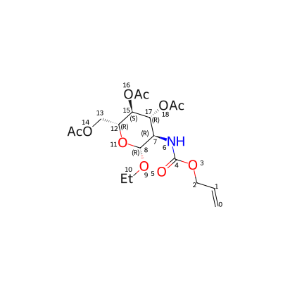 C=CCOC(=O)N[C@H]1[C@H](OCC)O[C@H](COC(C)=O)[C@@H](OC(C)=O)[C@@H]1OC(C)=O